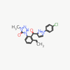 C=Cc1cccc(-n2nnn(C)c2=O)c1C(=O)c1ccn(-c2ccc(Cl)cc2)n1